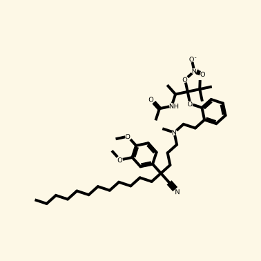 CCCCCCCCCCCCC(C#N)(CCCN(C)CCc1ccccc1OC(O[N+](=O)[O-])(C(C)NC(C)=O)C(C)(C)C)c1ccc(OC)c(OC)c1